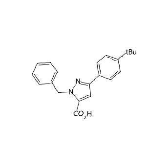 CC(C)(C)c1ccc(-c2cc(C(=O)O)n(Cc3ccccc3)n2)cc1